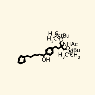 CC(=O)NC(CCc1ccc(C(O)CCCCCc2ccccc2)cc1)(CO[Si](C)(C)C(C)(C)C)CO[Si](C)(C)C(C)(C)C